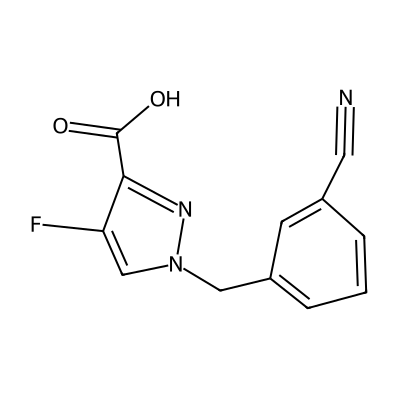 N#Cc1cccc(Cn2cc(F)c(C(=O)O)n2)c1